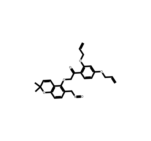 C=CCOc1ccc(C(=O)COc2c(CN=O)ccc3c2C=CC(C)(C)O3)c(OCC=C)c1